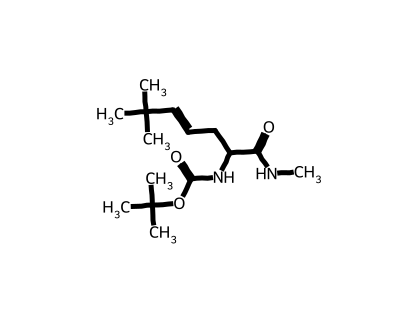 CNC(=O)C(CC=CC(C)(C)C)NC(=O)OC(C)(C)C